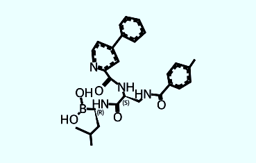 Cc1ccc(C(=O)NC[C@H](NC(=O)c2cc(-c3ccccc3)ccn2)C(=O)N[C@@H](CC(C)C)B(O)O)cc1